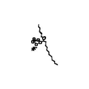 CCCCCCCCCCCC(OCCCCCC)OOP(=O)([O-])[O-].[K+].[K+]